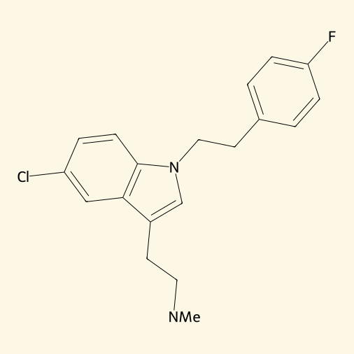 CNCCc1cn(CCc2ccc(F)cc2)c2ccc(Cl)cc12